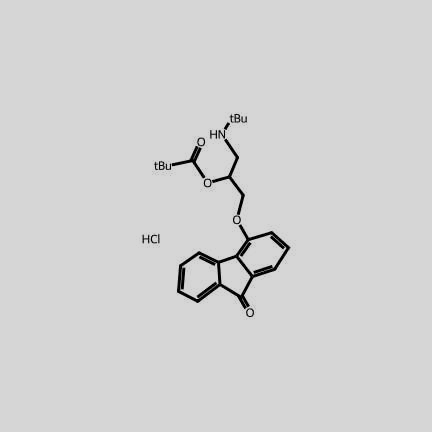 CC(C)(C)NCC(COc1cccc2c1-c1ccccc1C2=O)OC(=O)C(C)(C)C.Cl